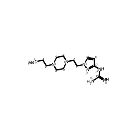 COCCN1CCN(CCn2ccc(NC(=N)N)n2)CC1